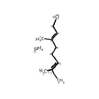 CC(C)=CCC/C(C)=C/CCl.[SiH4]